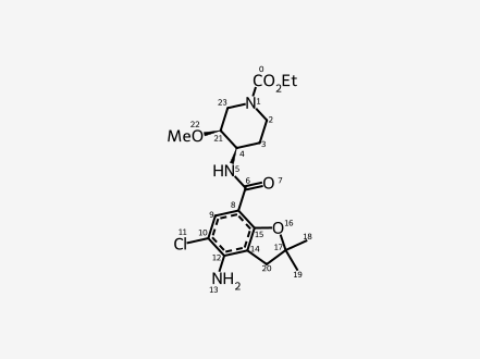 CCOC(=O)N1CC[C@@H](NC(=O)c2cc(Cl)c(N)c3c2OC(C)(C)C3)[C@@H](OC)C1